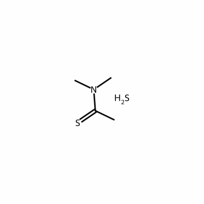 CC(=S)N(C)C.S